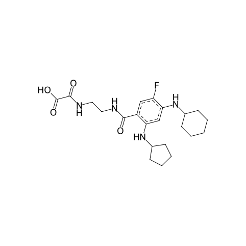 O=C(O)C(=O)NCCNC(=O)c1cc(F)c(NC2CCCCC2)cc1NC1CCCC1